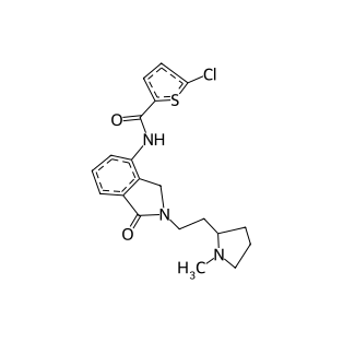 CN1CCCC1CCN1Cc2c(NC(=O)c3ccc(Cl)s3)cccc2C1=O